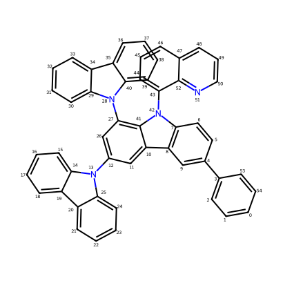 c1ccc(-c2ccc3c(c2)c2cc(-n4c5ccccc5c5ccccc54)cc(-n4c5ccccc5c5ccccc54)c2n3-c2cccc3cccnc23)cc1